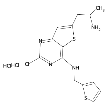 CC(N)Cc1cc2nc(Cl)nc(NCc3cccs3)c2s1.Cl.Cl